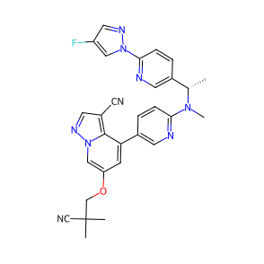 C[C@@H](c1ccc(-n2cc(F)cn2)nc1)N(C)c1ccc(-c2cc(OCC(C)(C)C#N)cn3ncc(C#N)c23)cn1